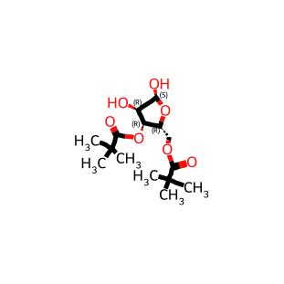 CC(C)(C)C(=O)OC[C@H]1O[C@H](O)[C@H](O)[C@H]1OC(=O)C(C)(C)C